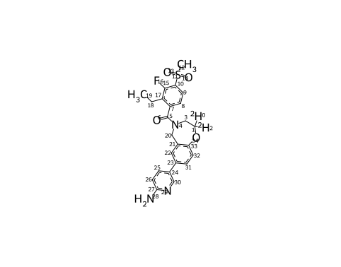 [2H]C1([2H])CN(C(=O)c2ccc(S(C)(=O)=O)c(F)c2CC)Cc2cc(-c3ccc(N)nc3)ccc2O1